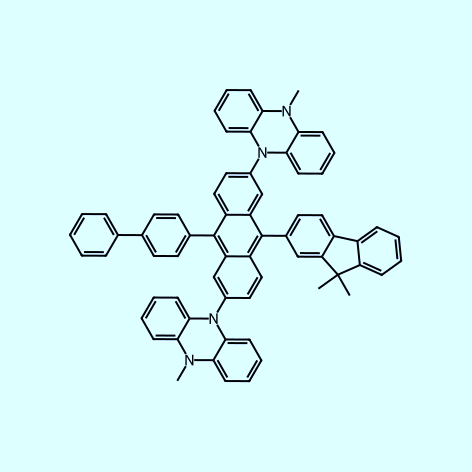 CN1c2ccccc2N(c2ccc3c(-c4ccc5c(c4)C(C)(C)c4ccccc4-5)c4cc(N5c6ccccc6N(C)c6ccccc65)ccc4c(-c4ccc(-c5ccccc5)cc4)c3c2)c2ccccc21